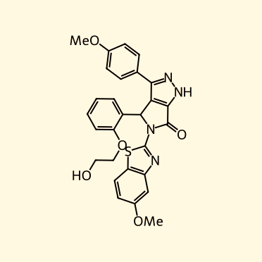 COc1ccc(-c2n[nH]c3c2C(c2ccccc2OCCO)N(c2nc4cc(OC)ccc4s2)C3=O)cc1